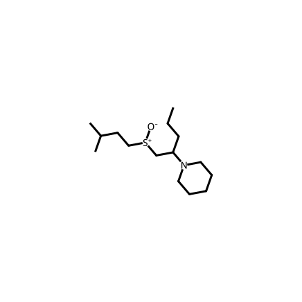 CCCC(C[S+]([O-])CCC(C)C)N1CCCCC1